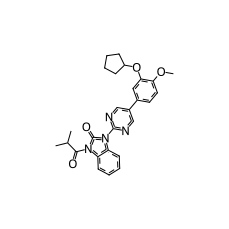 COc1ccc(-c2cnc(-n3c(=O)n(C(=O)C(C)C)c4ccccc43)nc2)cc1OC1CCCC1